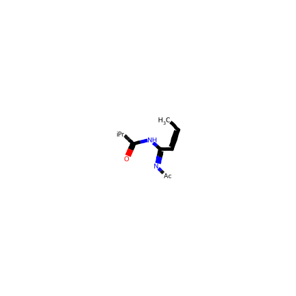 C/C=C\C(=N/C(C)=O)NC(=O)C(C)C